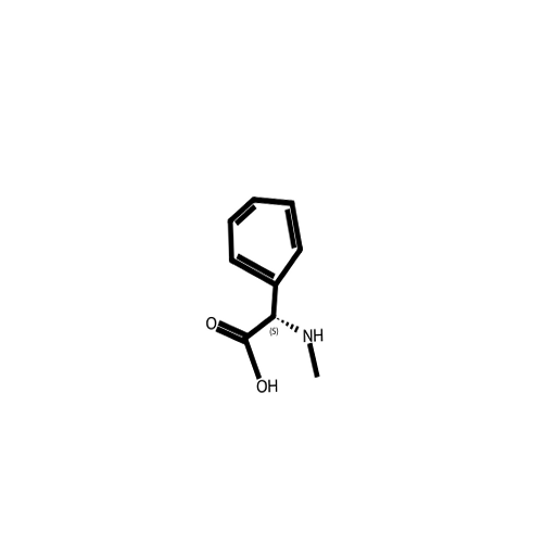 CN[C@H](C(=O)O)c1ccccc1